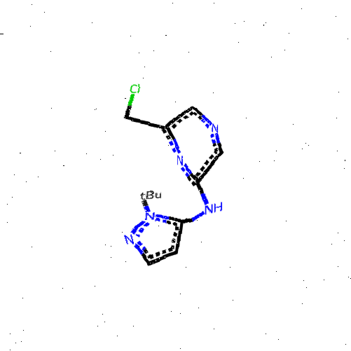 CC(C)(C)n1nccc1Nc1cncc(CCl)n1